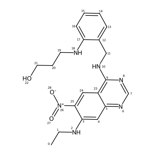 CCNc1cc2ncnc(NCc3ccccc3NCCCO)c2cc1[N+](=O)[O-]